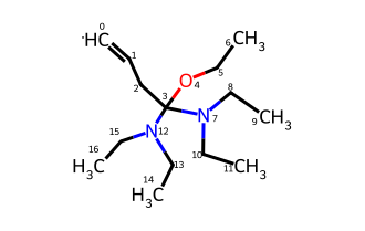 [CH]=CCC(OCC)(N(CC)CC)N(CC)CC